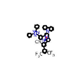 N#Cc1cc(-c2nc(-c3ccccc3)nc(-c3ccccc3)n2)cc(-c2cc(-n3c4ccccc4c4ccccc43)ccn2)c1-n1c2ccccc2c2cc(-c3cc(C(F)(F)F)cc(C(F)(F)F)c3)ccc21